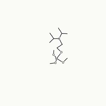 CO[Si](OC)(OC)OCCN(C(C)C)C(C)C